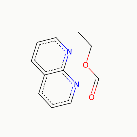 CCOC=O.c1cnc2ncccc2c1